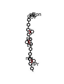 C=C(C)C(=O)OC(CCCCCCCCC)Oc1ccc(-c2ccc(-c3ccc4c(c3)C3(c5cc(-c6ccc7c(c6)C6(c8cc(-c9ccc(-c%10ccc(-c%11ccc%12c(c%11)C%11(c%13cc(-c%14ccc(C)cc%14)ccc%13-%12)C%12(CCC)CCCC%11(CCC)CCC%12)cc%10)cc9)ccc8-7)C7(CC)CCCC6(CC)CCC7)ccc5-4)C4(C)CCCC3(C)CCC4)cc2)cc1